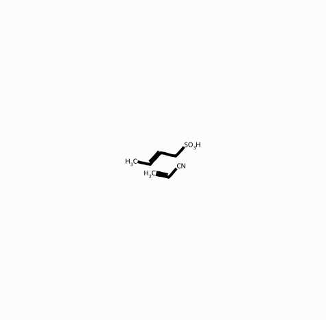 C=CC#N.CC=CCS(=O)(=O)O